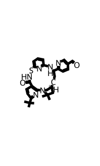 CC(C)(C)c1ccc2c(n1)N1C[C@@H](CCC(c3ccc(C=O)cn3)Nc3cccc(n3)SNC2=O)CC1(C)C